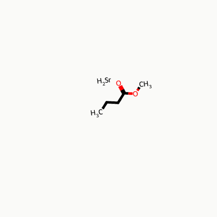 CCCC(=O)OC.[SrH2]